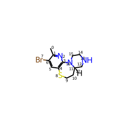 Cc1nc2c(cc1Br)SCC[C@H]1CNCCN21